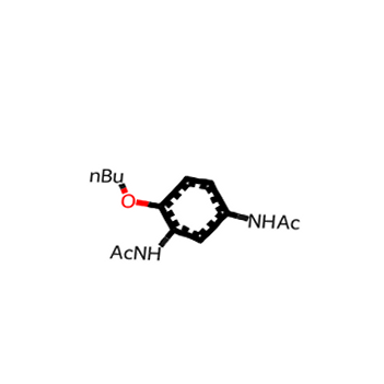 CCCCOc1ccc(NC(C)=O)cc1NC(C)=O